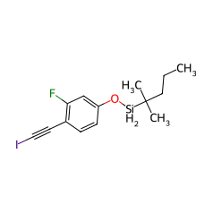 CCCC(C)(C)[SiH2]Oc1ccc(C#CI)c(F)c1